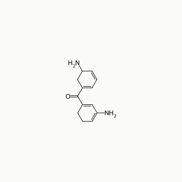 NC1=CCCC(C(=O)C2=CC=CC(N)C2)=C1